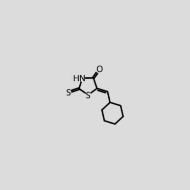 O=C1NC(=S)S/C1=C\C1CCCCC1